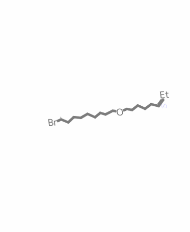 CC/C=C\CCCCCOCCCCCCCC[CH]Br